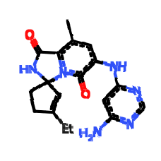 CCC1=CC2(CC1)NC(=O)c1c(C)cc(Nc3cc(N)ncn3)c(=O)n12